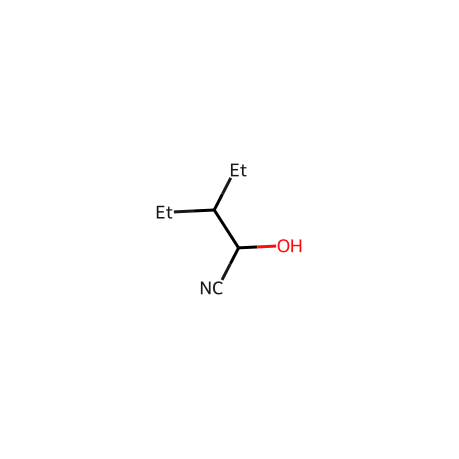 CCC(CC)C(O)C#N